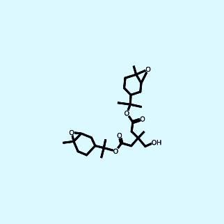 CC(CO)(CC(=O)OC(C)(C)C1CCC2(C)OC2C1)CC(=O)OC(C)(C)C1CCC2(C)OC2C1